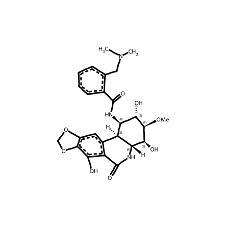 CO[C@@H]1[C@@H](O)[C@H](NC(=O)c2ccccc2CN(C)C)[C@@H]2c3cc4c(c(O)c3C(=O)N[C@H]2[C@@H]1O)OCO4